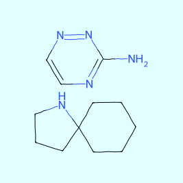 C1CCC2(CC1)CCCN2.Nc1nccnn1